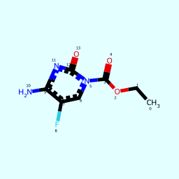 CCOC(=O)n1cc(F)c(N)nc1=O